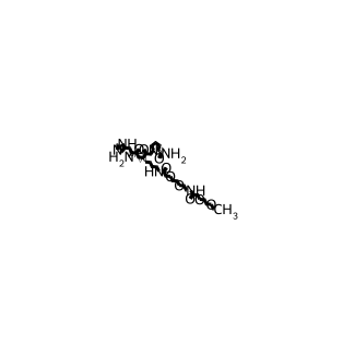 CCOCCOCC(=O)NCCOCCOCC(=O)NCCCC[C@H](CC(=O)[C@@H](N)Cc1cnc[nH]1)C(=O)CN1CCC[C@H]1C(N)=O